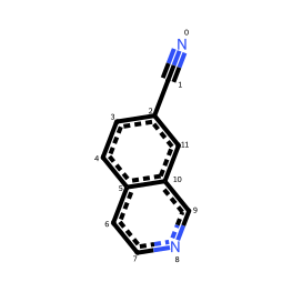 N#Cc1ccc2ccncc2c1